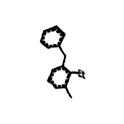 CCc1c(C)cccc1Cc1ccccc1